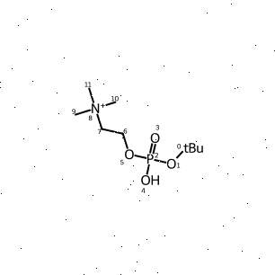 CC(C)(C)OP(=O)(O)OCC[N+](C)(C)C